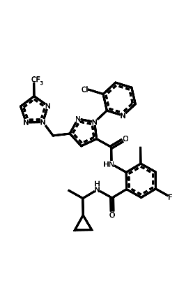 Cc1cc(F)cc(C(=O)NC(C)C2CC2)c1NC(=O)c1cc(Cn2ncc(C(F)(F)F)n2)nn1-c1ncccc1Cl